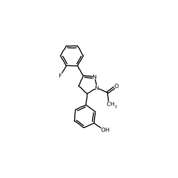 CC(=O)N1N=C(c2ccccc2F)CC1c1cccc(O)c1